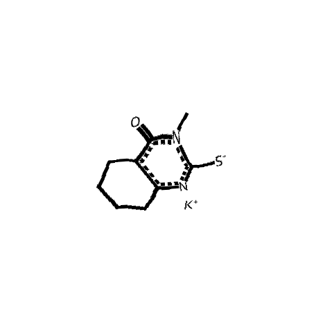 Cn1c([S-])nc2c(c1=O)CCCC2.[K+]